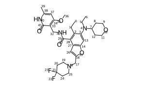 CCc1c(N(CC)C2CCOCC2)cc2oc(CN3CCC(F)(F)CC3)cc2c1C(=O)NCc1c(OC)cc(C)[nH]c1=O